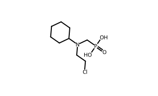 O=P(O)(O)CN(CCCl)C1CCCCC1